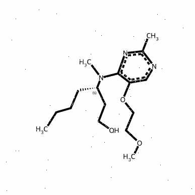 CCCC[C@@H](CCO)N(C)c1nc(C)ncc1OCCOC